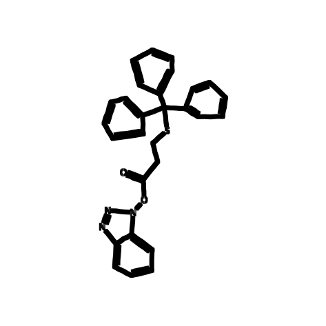 O=C(CCSC(c1ccccc1)(c1ccccc1)c1ccccc1)On1nnc2ccccc21